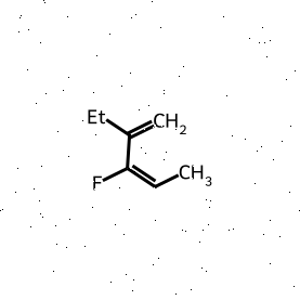 C=C(CC)/C(F)=C\C